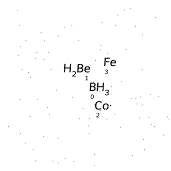 B.[BeH2].[Co].[Fe]